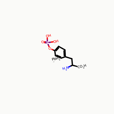 NC(Cc1ccc(OP(=O)(O)O)cc1)C(=O)O.[PbH2]